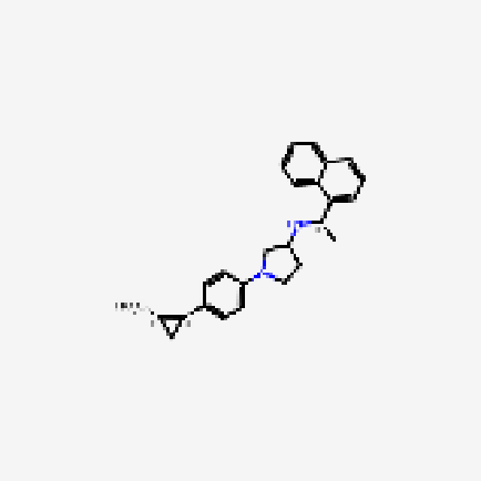 C[C@@H](NC1CCN(c2ccc([C@H]3C[C@@H]3C(=O)O)cc2)C1)c1cccc2ccccc12